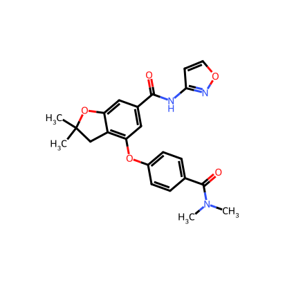 CN(C)C(=O)c1ccc(Oc2cc(C(=O)Nc3ccon3)cc3c2CC(C)(C)O3)cc1